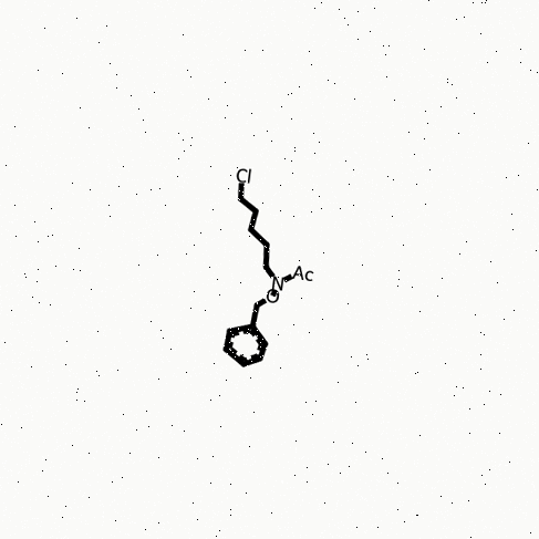 CC(=O)N(CCCCCCl)OCc1ccccc1